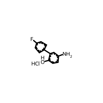 Cl.Nc1ccc(O)c(-c2ccc(F)cc2)c1